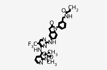 C=CC(=O)NCc1cccc(N2C(=O)Cc3cc(Nc4ncc(C(F)(F)F)c(NCc5cccnc5N(C)S(C)(=O)=O)n4)ccc32)c1